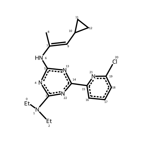 CCN(CC)c1nc(NC(C)=CC2CC2)nc(-c2cccc(Cl)n2)n1